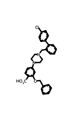 O=C(O)c1ccc(N2CCN(Cc3ccccc3-c3ccc(Cl)cc3)CC2)cc1OCc1ccccc1